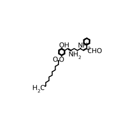 C=CCCCCCCCCC(=O)Oc1ccc(O)c(C=C(N)CCC(N)C=C(C=O)c2ccccc2)c1